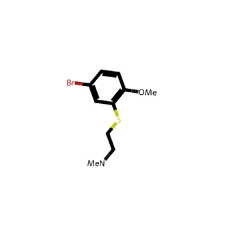 CNCCSc1cc(Br)ccc1OC